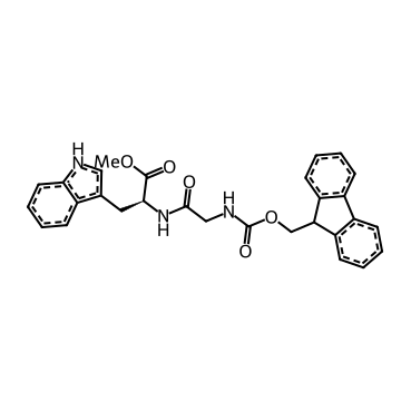 COC(=O)[C@H](Cc1c[nH]c2ccccc12)NC(=O)CNC(=O)OCC1c2ccccc2-c2ccccc21